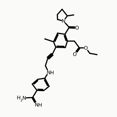 CCOC(=O)Cc1cc(C#CCNc2ccc(C(=N)N)cc2)c(C)cc1C(=O)N1CCCC1C